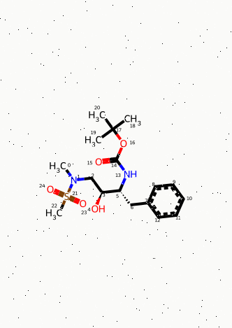 CN(C[C@H](O)[C@@H](Cc1ccccc1)NC(=O)OC(C)(C)C)S(C)(=O)=O